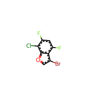 Fc1cc(F)c2c(Br)coc2c1Cl